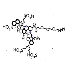 CCCN1/C(=C/C=C2\CC(C(=O)NCCOCCOCCOCCN=[N+]=[N-])CC(/C=C/C3=[N+](CCCS(=O)(=O)O)c4ccc5ccc(S(=O)(=O)O)cc5c4C3(C)C)=C2c2ccccc2F)C(C)(C)c2cc(N(CCCS(=O)(=O)O)CCCS(=O)(=O)O)ccc21